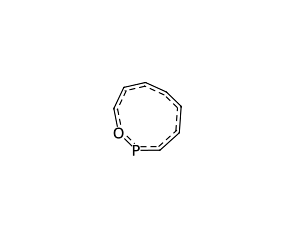 c1cccopccc1